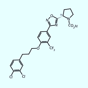 O=C(O)N1CCC[C@H]1c1nc(-c2ccc(OCCCc3ccc(Cl)c(Cl)c3)c(C(F)(F)F)c2)no1